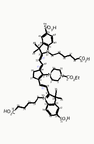 CCOC(=O)N1CCN(C2=C(/C=C/C3=[N+](CCCCCC(=O)O)c4ccc(S(=O)(=O)O)cc4C3(C)C)CC/C2=C\C=C2/N(CCCCCC(=O)O)c3ccc(S(=O)(=O)O)cc3C2(C)C)CC1